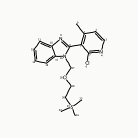 Cc1ccnc(Cl)c1-c1nc2ccccc2n1COCCS(C)(C)C